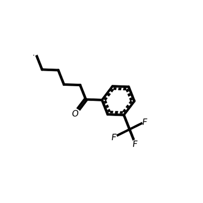 [CH2]CCCCC(=O)c1cccc(C(F)(F)F)c1